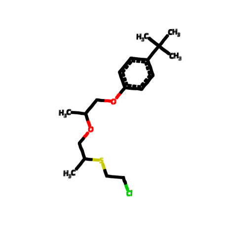 CC(COc1ccc(C(C)(C)C)cc1)OCC(C)SCCCl